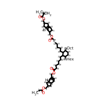 C=CC(=O)OCC1CC2C3CC(COC(=O)CCCCCCC4C(CCCCCC)CCC(CCCCCCCC)C4CCCCCCC(=O)OCC4CC5CC4[C@H]4CC(COC(=O)C(=C)C)CC54)C(C3)[C@H]2C1